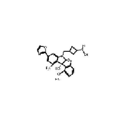 CCN(CC)C1CC(CN2C(=O)[C@@](O)(c3c(F)cccc3Cl)c3c2cc(-c2ncco2)cc3C(F)(F)F)C1.Cl